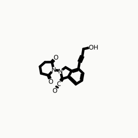 O=C=C1c2cccc(C#CCO)c2CN1N1C(=O)CCCC1=O